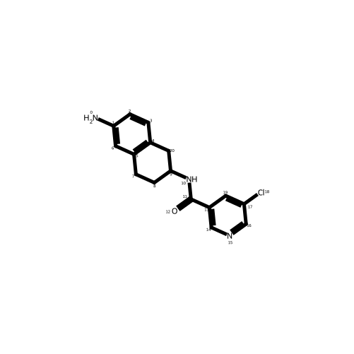 Nc1ccc2c(c1)CCC(NC(=O)c1cncc(Cl)c1)C2